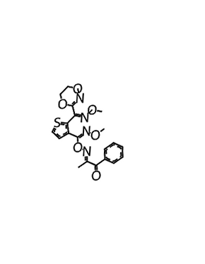 CON=C(ON=C(C)C(=O)c1ccccc1)c1ccsc1C(=NOC)C1=NOCCO1